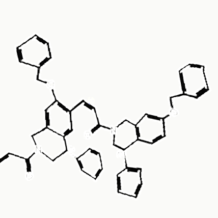 C=CC(=O)N1Cc2cc(OCc3ccccc3)c(/C=C\C(=O)N3Cc4cc(OCc5ccccc5)ccc4[C@@H](c4ccccc4)C3)cc2[C@H](c2ccccc2)C1